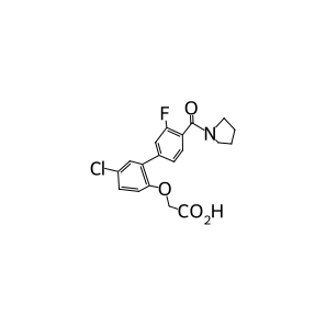 O=C(O)COc1ccc(Cl)cc1-c1ccc(C(=O)N2CCCC2)c(F)c1